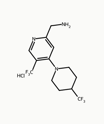 Cl.NCc1cc(N2CCC(C(F)(F)F)CC2)c(C(F)(F)F)cn1